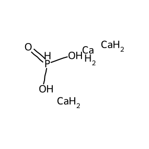 O=[PH](O)O.[CaH2].[CaH2].[CaH2]